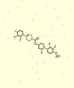 CCCOc1ccc(-c2ccc(OC(=O)C3CC=C(c4ccc(C)c(F)c4F)CC3)cc2F)c(F)c1F